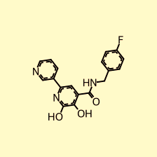 O=C(NCc1ccc(F)cc1)c1cc(-c2cccnc2)nc(O)c1O